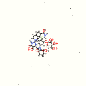 CN(CCO[C@@H]1O[C@H](CO)[C@H](O)C(O)C1O)C(=O)c1ccc2c(c1)[C@@H](c1ccccc1F)N(c1nc(-c3nc4ccccc4o3)c(O)c(=O)n1C)CC2